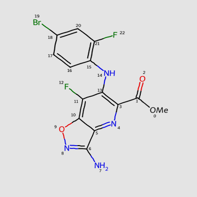 COC(=O)c1nc2c(N)noc2c(F)c1Nc1ccc(Br)cc1F